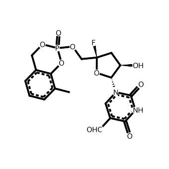 Cc1cccc2c1OP(=O)(OC[C@]1(F)C[C@@H](O)[C@H](n3cc(C=O)c(=O)[nH]c3=O)O1)OC2